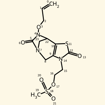 C=CCON1C(=O)N2Cc3c(sc(=O)n3CCOS(C)(=O)=O)C1C2